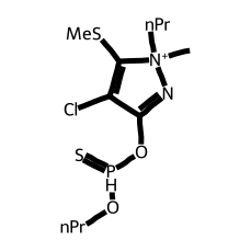 CCCO[PH](=S)OC1=N[N+](C)(CCC)C(SC)=C1Cl